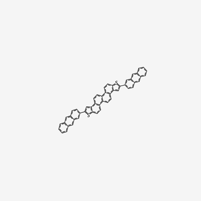 c1ccc2cc3cc(-c4cc5c(ccc6c5ccc5c7ccc8sc(-c9ccc%10cc%11ccccc%11cc%10c9)cc8c7ccc65)s4)ccc3cc2c1